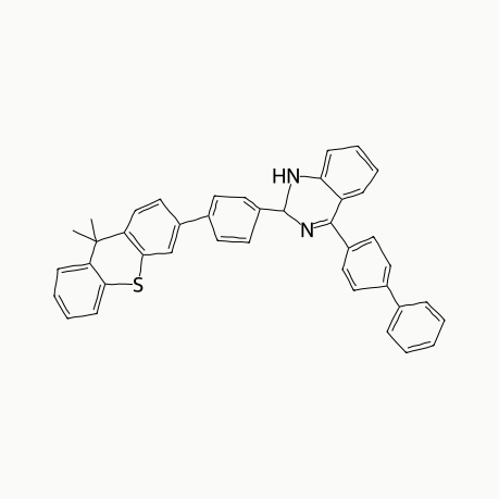 CC1(C)c2ccccc2Sc2cc(-c3ccc(C4N=C(c5ccc(-c6ccccc6)cc5)c5ccccc5N4)cc3)ccc21